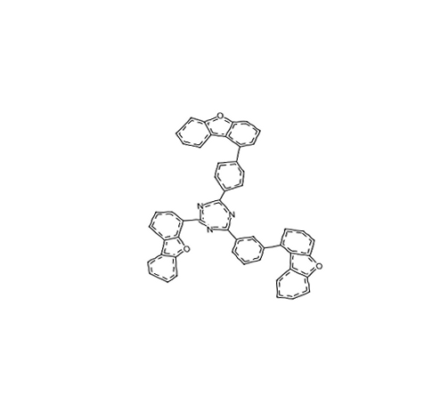 c1cc(-c2nc(-c3ccc(-c4cccc5oc6ccccc6c45)cc3)nc(-c3cccc4c3oc3ccccc34)n2)cc(-c2cccc3oc4ccccc4c23)c1